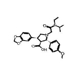 CCN(C(=O)CN1C[C@H](c2ccc3c(c2)OCO3)[C@H](C(=O)O)[C@H]1c1ccc(OC)cc1)C(C)C